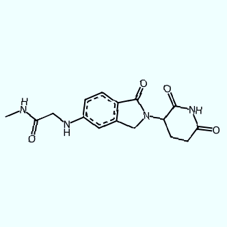 CNC(=O)CNc1ccc2c(c1)CN(C1CCC(=O)NC1=O)C2=O